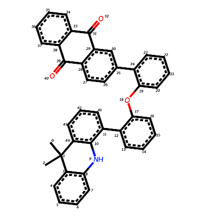 CC1(C)c2ccccc2Nc2c(-c3ccccc3Oc3ccccc3-c3ccc4c(c3)C(=O)c3ccccc3C4=O)cccc21